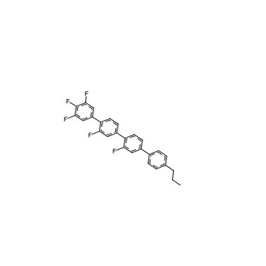 CCCc1ccc(-c2ccc(-c3ccc(-c4cc(F)c(F)c(F)c4)c(F)c3)c(F)c2)cc1